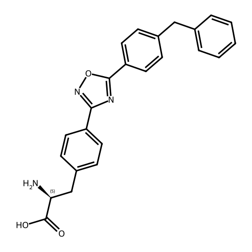 N[C@@H](Cc1ccc(-c2noc(-c3ccc(Cc4ccccc4)cc3)n2)cc1)C(=O)O